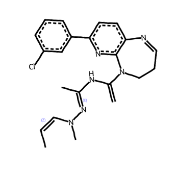 C=C(N/C(C)=N/N(C)/C=C\C)N1CCC=Nc2ccc(-c3cccc(Cl)c3)nc21